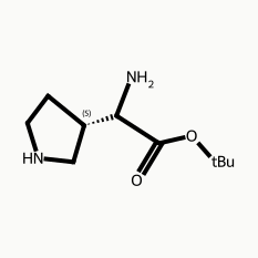 CC(C)(C)OC(=O)C(N)[C@H]1CCNC1